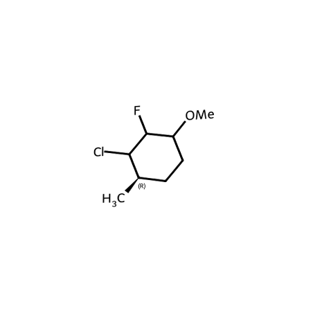 COC1CC[C@@H](C)C(Cl)C1F